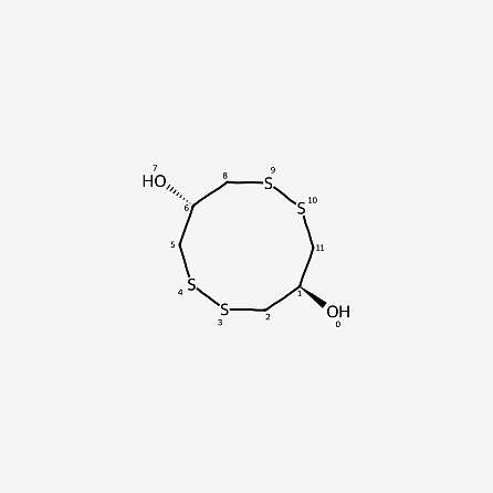 O[C@H]1CSSC[C@H](O)CSSC1